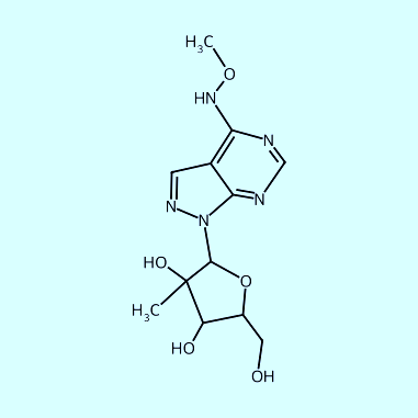 CONc1ncnc2c1cnn2C1OC(CO)C(O)C1(C)O